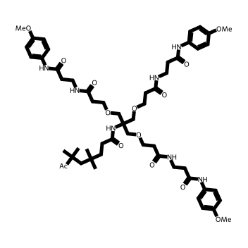 COc1ccc(NC(=O)CCNC(=O)CCOCC(COCCC(=O)NCCC(=O)Nc2ccc(OC)cc2)(COCCC(=O)NCCC(=O)Nc2ccc(OC)cc2)NC(=O)CCC(C)(C)CC(C)(C)C(C)=O)cc1